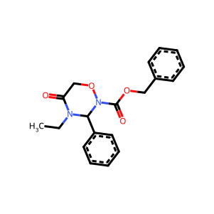 CCN1C(=O)CON(C(=O)OCc2ccccc2)C1c1ccccc1